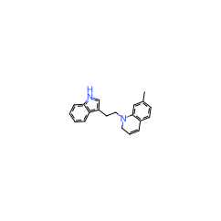 Cc1ccc2c(c1)N(CCc1c[nH]c3ccccc13)CC=C2